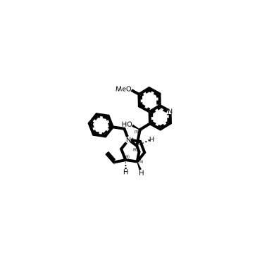 C=C[C@H]1C[N+]2(Cc3ccccc3)CC[C@H]1C[C@@H]2[C@@H](O)c1ccnc2ccc(OC)cc12